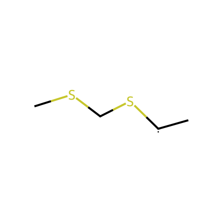 C[CH]SCSC